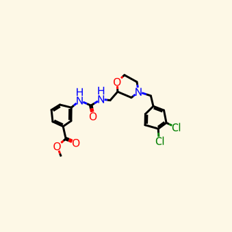 COC(=O)c1cccc(NC(=O)NCC2CN(Cc3ccc(Cl)c(Cl)c3)CCO2)c1